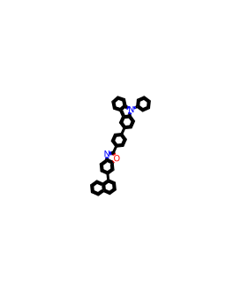 c1ccc(-n2c3ccccc3c3cc(-c4ccc(-c5nc6ccc(-c7cccc8ccccc78)cc6o5)cc4)ccc32)cc1